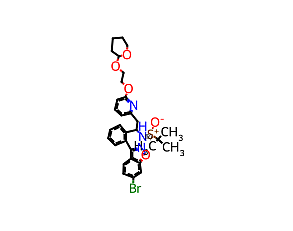 CC(C)(C)[S@+]([O-])NC(Cc1cccc(OCCOC2CCCCO2)n1)c1ccccc1-c1noc2cc(Br)ccc12